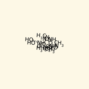 COc1cc2c(cc1-c1c(C)noc1C)[nH]c1nc(C)nc(-c3cc(C(=O)NCC[C@H](O)CO)cc(C(C)(C)C)c3)c12